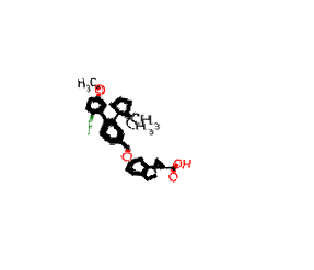 COc1ccc(F)c(-c2ccc(COc3ccc4c(c3)[C@]3(CC4)C[C@H]3C(=O)O)cc2[C@H]2CCCC2(C)C)c1